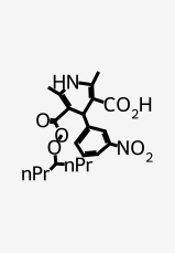 CCCC(CCC)OOC(=O)C1=C(C)NC(C)=C(C(=O)O)C1c1cccc([N+](=O)[O-])c1